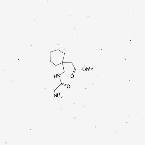 COC(=O)CC1(CNC(=O)CN)CCCCC1